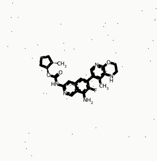 Cc1c(-c2cc3cc(NC(=O)O[C@H]4CCC[C@@H]4C)ncc3c(N)c2F)cnc2c1NCCO2